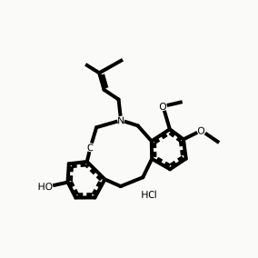 COc1ccc2c(c1OC)CN(CC=C(C)C)CCc1cc(O)ccc1CC2.Cl